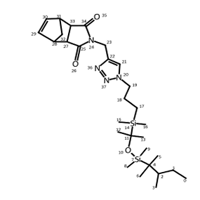 CCC(C)C(C)(C)[Si](C)(C)OC(C)(C)[Si](C)(C)CCCn1cc(CN2C(=O)C3C4C=CC(C4)C3C2=O)nn1